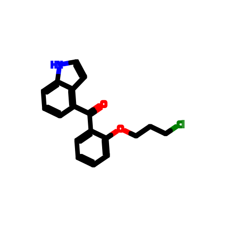 O=C(c1ccccc1OCCCCl)c1cccc2[nH]ccc12